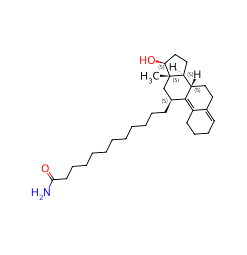 C[C@]12C[C@H](CCCCCCCCCCCC(N)=O)C3=C4CCCC=C4CC[C@H]3[C@@H]1CC[C@@H]2O